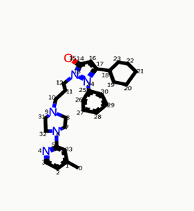 Cc1ccnc(N2CCN(CCCn3c(=O)cc(C4CCCCC4)n3-c3ccccc3)CC2)c1